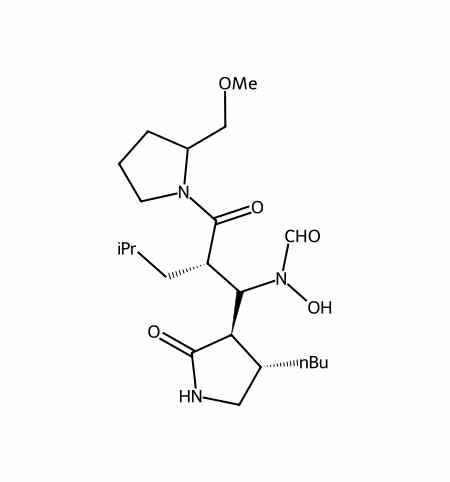 CCCC[C@@H]1CNC(=O)[C@H]1C([C@H](CC(C)C)C(=O)N1CCCC1COC)N(O)C=O